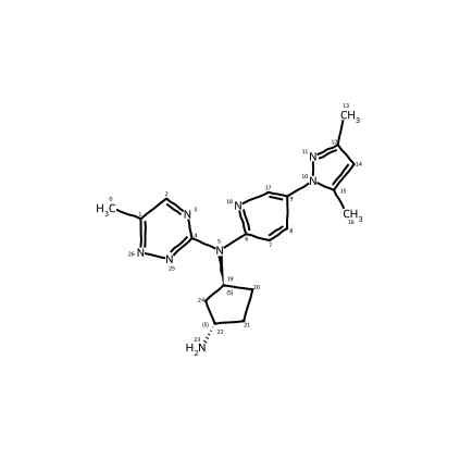 Cc1cnc(N(c2ccc(-n3nc(C)cc3C)cn2)[C@H]2CC[C@H](N)C2)nn1